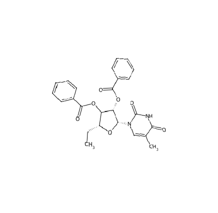 CC[C@H]1O[C@@H](n2cc(C)c(=O)[nH]c2=O)[C@@H](OC(=O)c2ccccc2)C1OC(=O)c1ccccc1